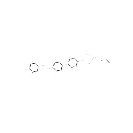 C=CCCC1COC(c2ccc(-c3ccc(CCc4cc(F)c(F)c(F)c4)c(F)c3F)cc2)OC1